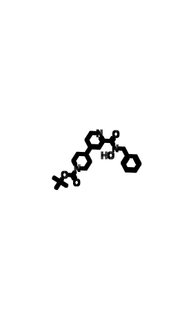 CC(C)(C)OC(=O)N1CCC(C2=CC(C(=O)N(O)Cc3ccccc3)=NCC2)CC1